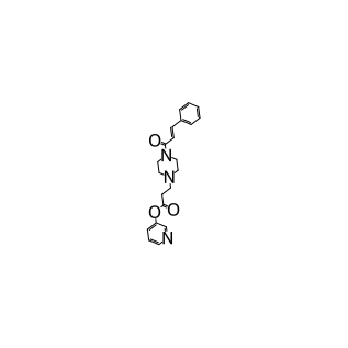 O=C(CCN1CCN(C(=O)C=Cc2ccccc2)CC1)Oc1cccnc1